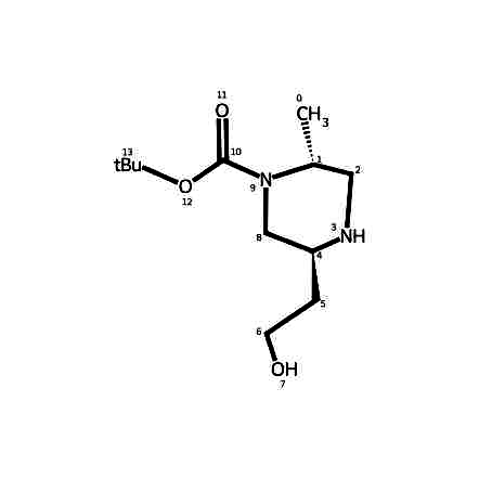 C[C@@H]1CN[C@@H](CCO)CN1C(=O)OC(C)(C)C